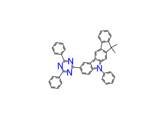 CC1(C)c2ccccc2-c2cc3c4cc(-c5nc(-c6ccccc6)nc(-c6ccccc6)n5)ccc4n(-c4ccccc4)c3cc21